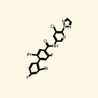 CC(C)c1cc(C(=O)Nc2cnc(-n3nccn3)c(Cl)c2)c(F)cc1-c1ccc(F)cc1Br